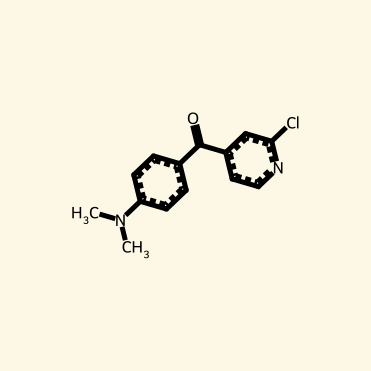 CN(C)c1ccc(C(=O)c2ccnc(Cl)c2)cc1